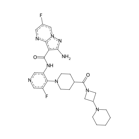 Nc1nn2cc(F)cnc2c1C(=O)Nc1cncc(F)c1N1CCC(C(=O)N2CC(N3CCCCC3)C2)CC1